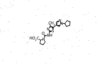 Cc1nc(NC(=O)N2CCC[C@H]2C(=O)O)sc1-c1cnn(C2CCCC2)c1